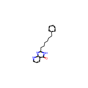 O=c1[nH]c(CCCCCCc2ccccc2)nc2ncccc12